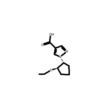 CCO[C@@H]1CCC[C@H]1n1cc(C(=O)O)cn1